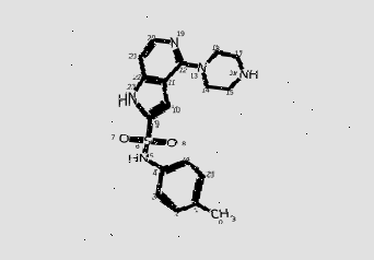 Cc1ccc(NS(=O)(=O)c2cc3c(N4CCNCC4)nccc3[nH]2)cc1